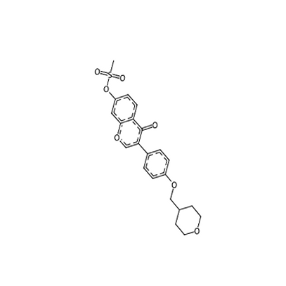 CS(=O)(=O)Oc1ccc2c(=O)c(-c3ccc(OCC4CCOCC4)cc3)coc2c1